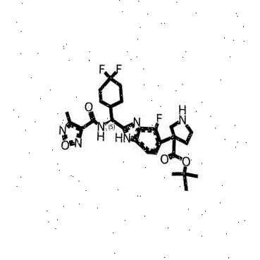 Cc1nonc1C(=O)N[C@H](c1nc2c(F)c(C3(C(=O)OC(C)(C)C)CCNC3)ccc2[nH]1)C1CCC(F)(F)CC1